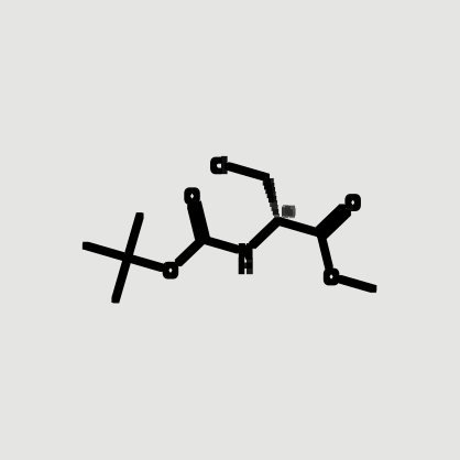 COC(=O)[C@@H](CCl)NC(=O)OC(C)(C)C